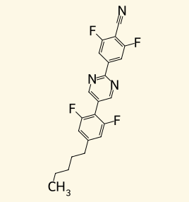 CCCCCc1cc(F)c(-c2cnc(-c3cc(F)c(C#N)c(F)c3)nc2)c(F)c1